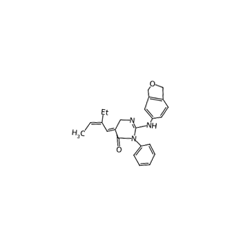 C/C=C(\C=C1/CN=C(Nc2ccc3c(c2)COC3)N(c2ccccc2)C1=O)CC